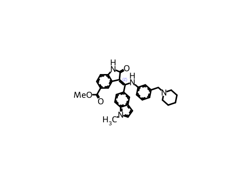 COC(=O)c1ccc2c(c1)/C(=C(/Nc1cccc(CN3CCCCC3)c1)c1ccc3c(ccn3C)c1)C(=O)N2